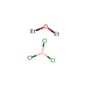 CCOCC.ClB(Cl)Cl